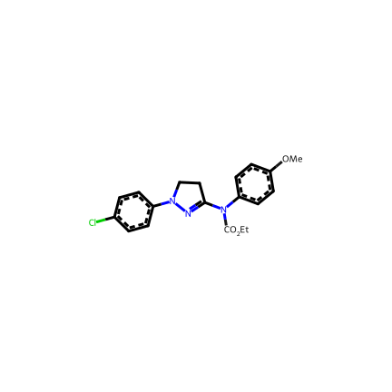 CCOC(=O)N(C1=NN(c2ccc(Cl)cc2)CC1)c1ccc(OC)cc1